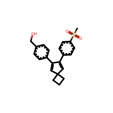 CS(=O)(=O)c1ccc(C2=CC3(C=C2c2ccc(CO)cc2)CCC3)cc1